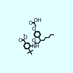 CCCCCC(CC(=O)Nc1cc(C(=O)OC)ccc1C(C)(C)C)c1ccc(OCC(=O)O)cc1